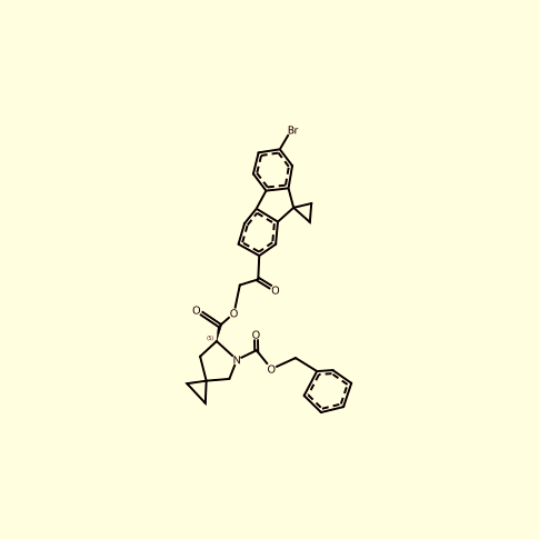 O=C(COC(=O)[C@@H]1CC2(CC2)CN1C(=O)OCc1ccccc1)c1ccc2c(c1)C1(CC1)c1cc(Br)ccc1-2